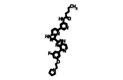 CCCCC(=O)Nc1cncc(-c2ccc3[nH]nc(-c4nc5c(-c6cc(F)cc(OCCN7CCCC7)c6)nccc5[nH]4)c3n2)c1